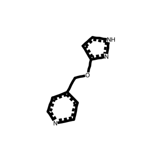 c1cc(COc2cc[nH]n2)ccn1